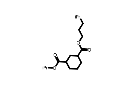 CC(C)CCCOC(=O)C1CCCC(C(=O)OC(C)C)C1